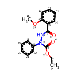 CCOC(=O)N(NC(=O)c1ccccc1OC)c1ccccc1